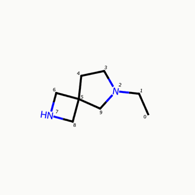 CCN1CCC2(CNC2)C1